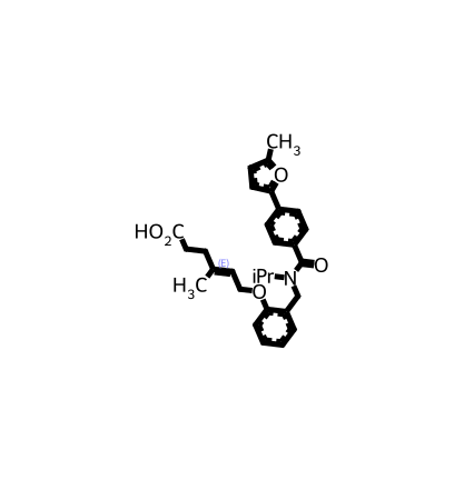 C/C(=C\COc1ccccc1CN(C(=O)c1ccc(-c2ccc(C)o2)cc1)C(C)C)CCC(=O)O